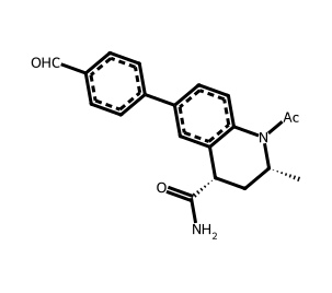 CC(=O)N1c2ccc(-c3ccc(C=O)cc3)cc2[C@@H](C(N)=O)C[C@H]1C